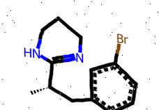 C[C@@H](Cc1cccc(Br)c1)C1=NCCCN1